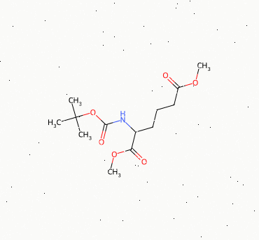 COC(=O)CCCC(NC(=O)OC(C)(C)C)C(=O)OC